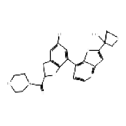 O=C(C1Cc2cc(Cl)cc(-c3ccnc4cc(C5(O)COC5)sc34)c2O1)N1CCNCC1